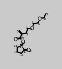 C=C(CCOCCOCC)C(=O)ON1CCCC1=O